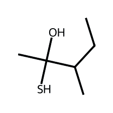 CCC(C)C(C)(O)S